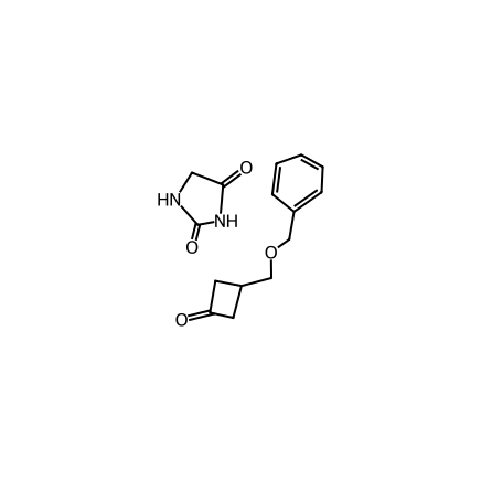 O=C1CC(COCc2ccccc2)C1.O=C1CNC(=O)N1